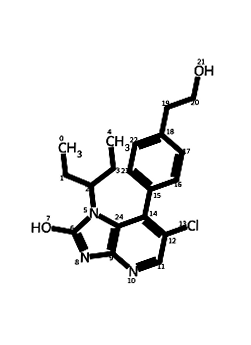 CCC(CC)n1c(O)nc2ncc(Cl)c(-c3ccc(CCO)cc3)c21